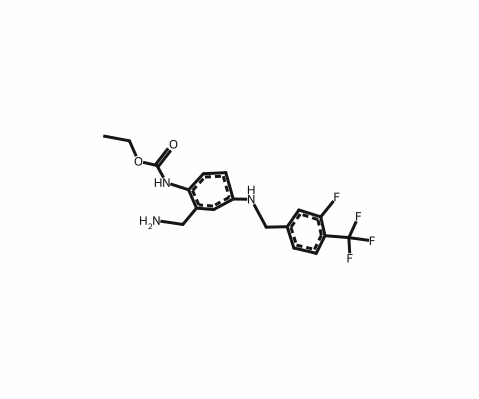 CCOC(=O)Nc1ccc(NCc2ccc(C(F)(F)F)c(F)c2)cc1CN